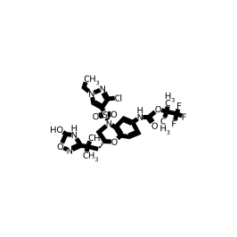 CCn1cc(S(=O)(=O)N2C[C@@H](CC(C)(C)C3=NOC(O)N3)Oc3ccc(NC(=O)OC(C)(C)C(F)(F)F)cc32)c(Cl)n1